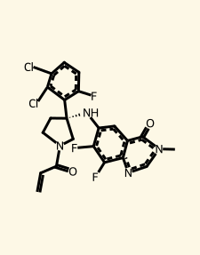 C=CC(=O)N1CC[C@@](Nc2cc3c(=O)n(C)cnc3c(F)c2F)(c2c(F)ccc(Cl)c2Cl)C1